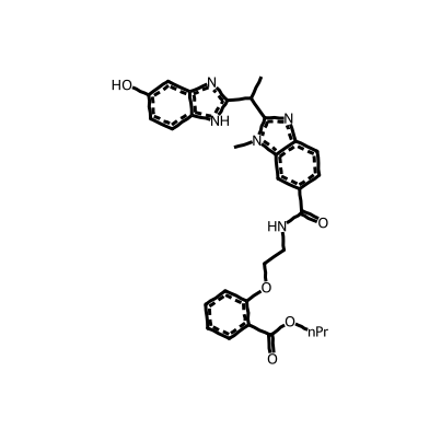 CCCOC(=O)c1ccccc1OCCNC(=O)c1ccc2nc(C(C)c3nc4cc(O)ccc4[nH]3)n(C)c2c1